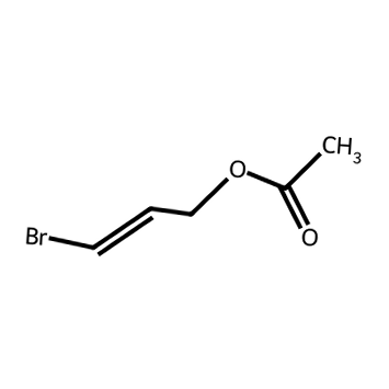 CC(=O)OCC=CBr